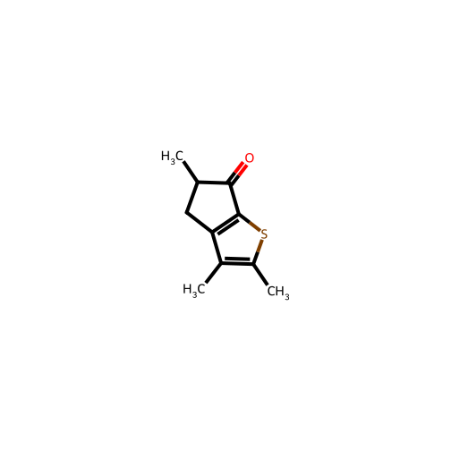 Cc1sc2c(c1C)CC(C)C2=O